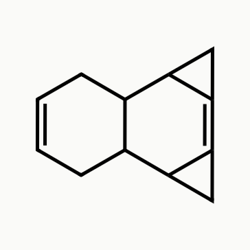 C1=CCC2C3CC3=C3CC3C2C1